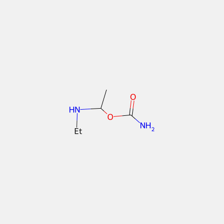 CCNC(C)OC(N)=O